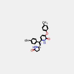 Cc1ccc(Oc2ccc(/C(=C/[C@H]3CCC(=O)N3)c3ccc(C(C)(C)C)cc3)[nH]c2=O)cc1